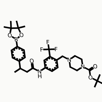 CC(CC(=O)Nc1ccc(CN2CCN(C(=O)OC(C)(C)C)CC2)c(C(F)(F)F)c1)c1ccc(B2OC(C)(C)C(C)(C)O2)cc1